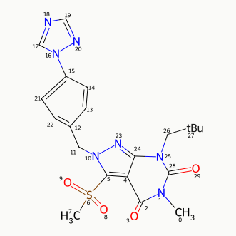 Cn1c(=O)c2c(S(C)(=O)=O)n(Cc3ccc(-n4cncn4)cc3)nc2n(CC(C)(C)C)c1=O